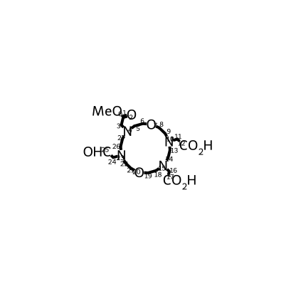 COC(=O)CN1CCOCCN(CC(=O)O)CCN(CC(=O)O)CCOCCN(CC=O)CC1